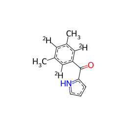 [2H]c1c(C)c([2H])c(C(=O)c2ccc[nH]2)c([2H])c1C